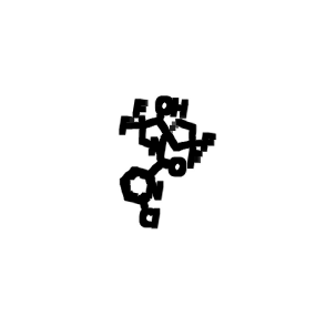 O=C(c1cccc(Cl)n1)N1CC(F)(F)[C@@H](O)[C@]12CCC(F)(F)C2